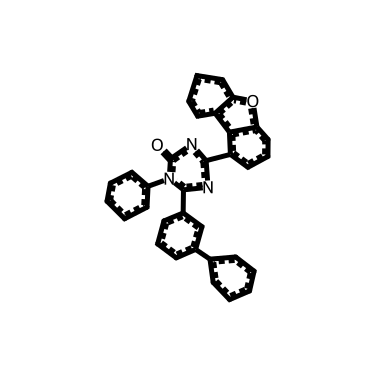 O=c1nc(-c2cccc3oc4ccccc4c23)nc(-c2cccc(-c3ccccc3)c2)n1-c1ccccc1